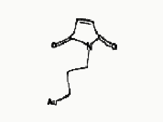 O=C1C=CC(=O)N1CC[CH2][Au]